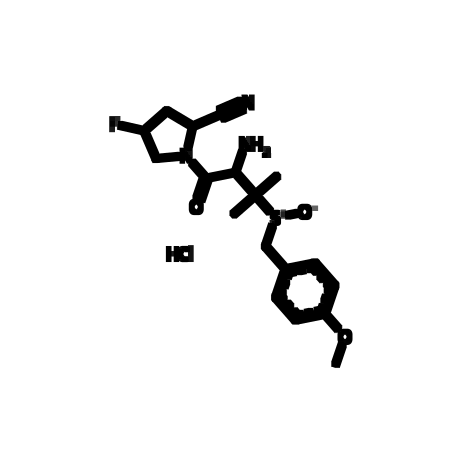 COc1ccc(C[S+]([O-])C(C)(C)C(N)C(=O)N2CC(F)CC2C#N)cc1.Cl